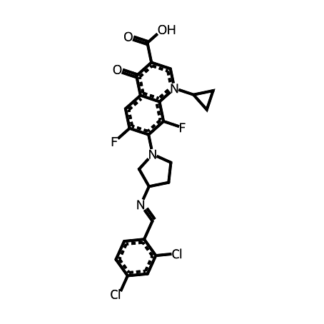 O=C(O)c1cn(C2CC2)c2c(F)c(N3CCC(/N=C/c4ccc(Cl)cc4Cl)C3)c(F)cc2c1=O